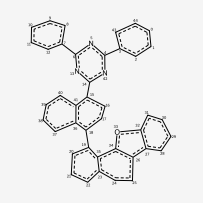 c1ccc(-c2nc(-c3ccccc3)nc(-c3ccc(-c4cccc5ccc6c7ccccc7oc6c45)c4ccccc34)n2)cc1